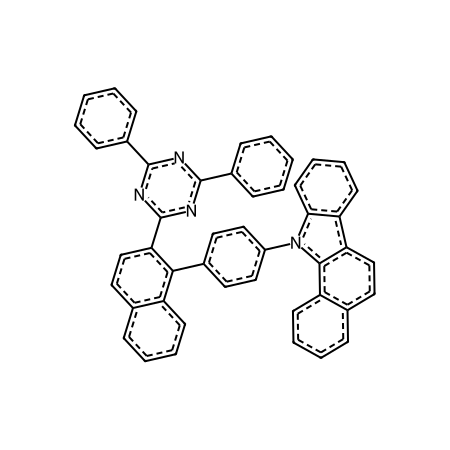 c1ccc(-c2nc(-c3ccccc3)nc(-c3ccc4ccccc4c3-c3ccc(-n4c5ccccc5c5ccc6ccccc6c54)cc3)n2)cc1